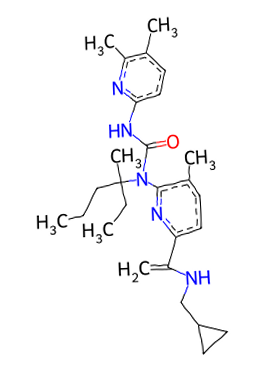 C=C(NCC1CC1)c1ccc(C)c(N(C(=O)Nc2ccc(C)c(C)n2)C(C)(CC)CCC)n1